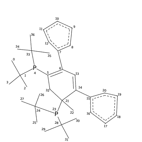 CC(C)(C)P(C1=C(c2ccccc2)C=C(c2ccccc2)C(C)(P(C(C)(C)C)C(C)(C)C)C1)C(C)(C)C